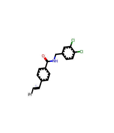 CC(C)/C=C/c1ccc(C(=O)NCc2ccc(Cl)c(Cl)c2)cc1